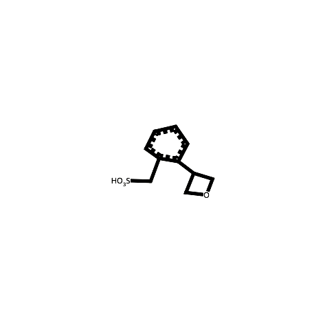 O=S(=O)(O)Cc1ccccc1C1COC1